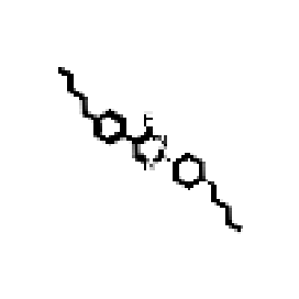 CCCCCc1ccc(-c2cnc([C@H]3CC[C@H](CCCCC)CC3)nc2F)cc1